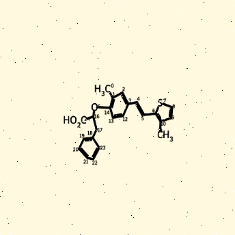 Cc1cc(/C=C/c2sccc2C)ccc1OC(Cc1ccccc1)C(=O)O